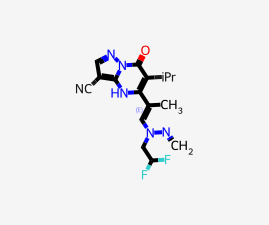 C=NN(/C=C(\C)c1[nH]c2c(C#N)cnn2c(=O)c1C(C)C)CC(F)F